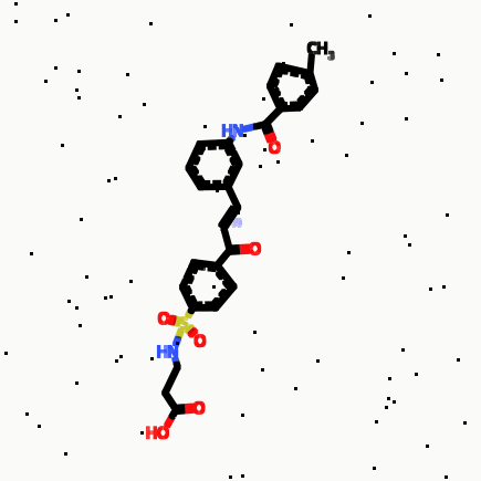 Cc1ccc(C(=O)Nc2cccc(/C=C/C(=O)c3ccc(S(=O)(=O)NCCC(=O)O)cc3)c2)cc1